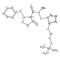 CC(C)(C)C(Cc1nnnn1COCC[Si](C)(C)C)C(=O)N1C(=O)OCC1Cc1ccccc1